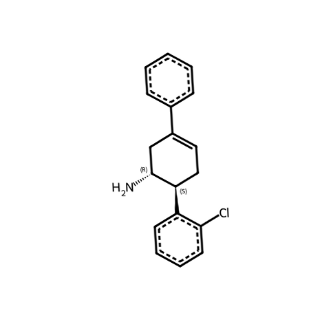 N[C@@H]1CC(c2ccccc2)=CC[C@H]1c1ccccc1Cl